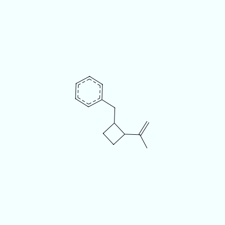 C=C(C)C1CCC1Cc1ccccc1